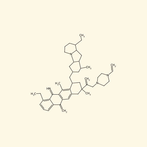 C=CN1CCN(CC(=C)C2(C)Cc3cc4c(c(C)c3C(CC3CC(C)C5CC6C(CC)CCCN6C5C3)C2)C(=N)c2c(CC)cccc2C4=C)CC1